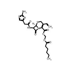 C=CC1=C(C(=O)OCOC(=O)CCCCC)N2C(=O)C(NC(=O)Cc3csc(N)n3)[C@H]2SC1